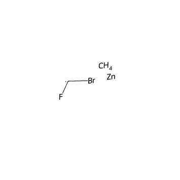 C.F[CH]Br.[Zn]